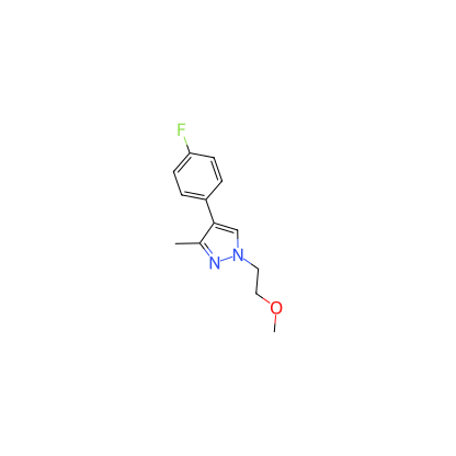 COCCn1cc(-c2ccc(F)cc2)c(C)n1